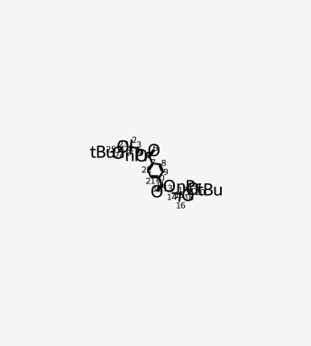 CCCC(C)(COC(=O)c1ccc(C(=O)OCC(C)(CCC)OOC(C)(C)C)cc1)OOC(C)(C)C